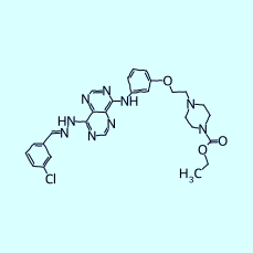 CCOC(=O)N1CCN(CCOc2cccc(Nc3ncnc4c(N/N=C/c5cccc(Cl)c5)ncnc34)c2)CC1